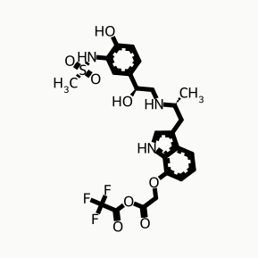 C[C@H](Cc1c[nH]c2c(OCC(=O)OC(=O)C(F)(F)F)cccc12)NC[C@@H](O)c1ccc(O)c(NS(C)(=O)=O)c1